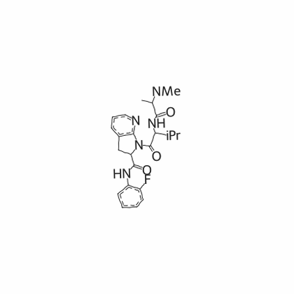 CNC(C)C(=O)NC(C(=O)N1c2ncccc2CC1C(=O)Nc1ccccc1F)C(C)C